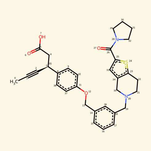 CC#C[C@@H](CC(=O)O)c1ccc(OCc2cccc(CN3CCc4sc(C(=O)N5CCCC5)cc4C3)c2)cc1